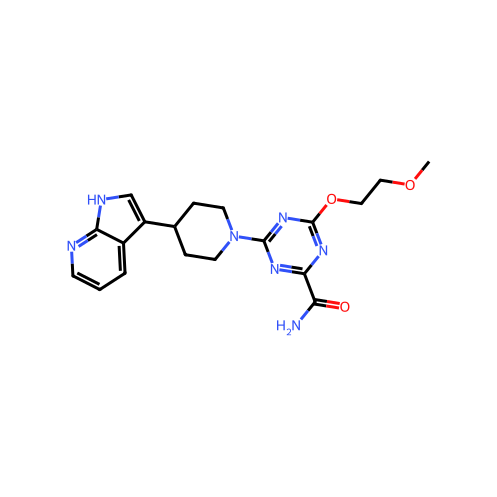 COCCOc1nc(C(N)=O)nc(N2CCC(c3c[nH]c4ncccc34)CC2)n1